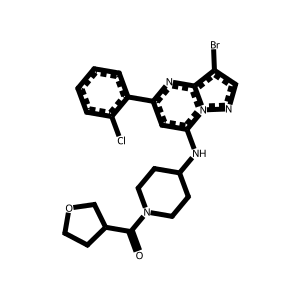 O=C(C1CCOC1)N1CCC(Nc2cc(-c3ccccc3Cl)nc3c(Br)cnn23)CC1